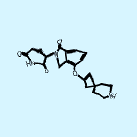 O=C1CCC(N2Cc3c(OC4CC5(CCNCC5)C4)cccc3C2=O)C(=O)N1